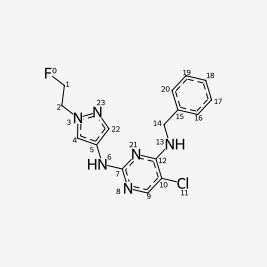 FCCn1cc(Nc2ncc(Cl)c(NCc3ccccc3)n2)cn1